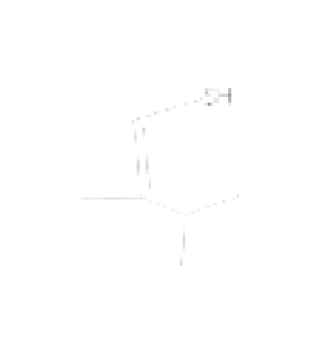 CC(=CS)C(C)C